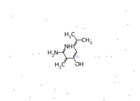 C=C(C(=N)N)/C(O)=C\C=C(C)C